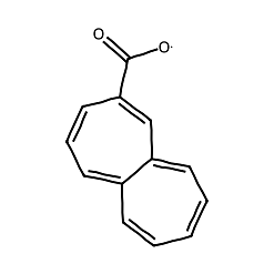 [O]C(=O)C1=CC2=CC=CC=CC2=CC=C1